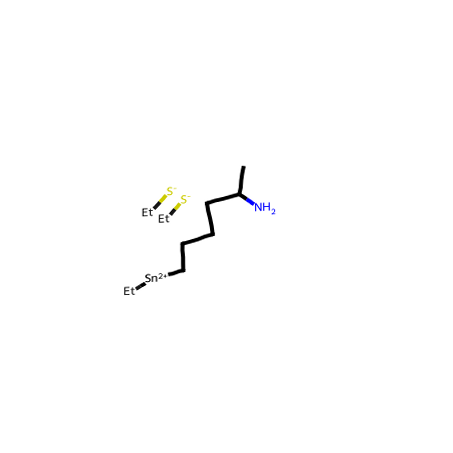 CC[S-].CC[S-].C[CH2][Sn+2][CH2]CCCC(C)N